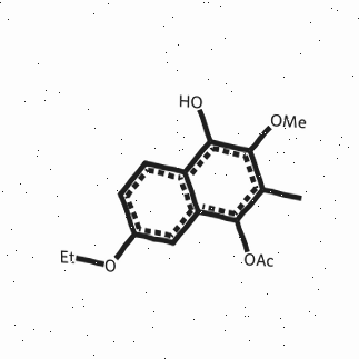 CCOc1ccc2c(O)c(OC)c(C)c(OC(C)=O)c2c1